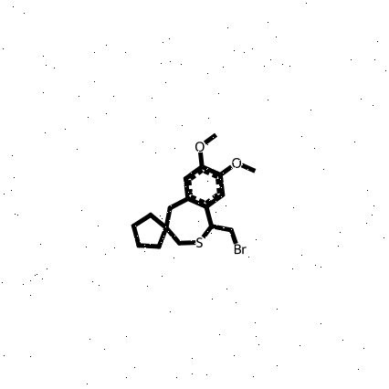 COc1cc2c(cc1OC)C(CBr)SCC1(CCCC1)C2